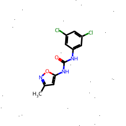 Cc1cc(NC(=O)Nc2cc(Cl)cc(Cl)c2)on1